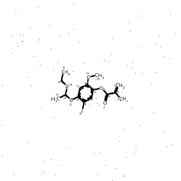 C=C(C)C(=O)Oc1cc(I)c(OC(C)OCC)cc1OC